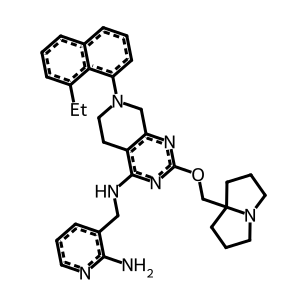 CCc1cccc2cccc(N3CCc4c(nc(OCC56CCCN5CCC6)nc4NCc4cccnc4N)C3)c12